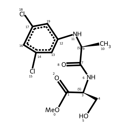 COC(=O)[C@H](CO)NC(=O)[C@H](C)Nc1cc(Cl)cc(Cl)c1